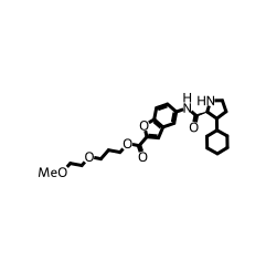 COCCOCCCOC(=O)c1cc2cc(NC(=O)[C@H]3NCCC3C3CCCCC3)ccc2o1